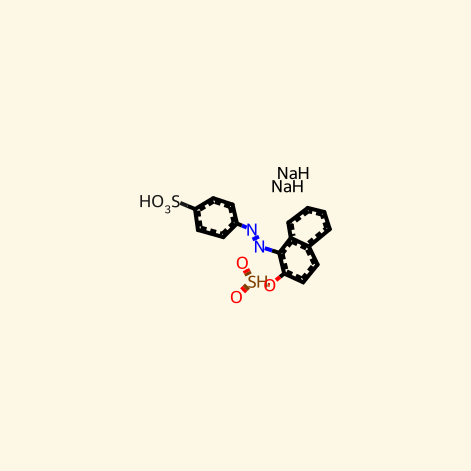 O=[SH](=O)Oc1ccc2ccccc2c1N=Nc1ccc(S(=O)(=O)O)cc1.[NaH].[NaH]